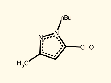 CCCCn1nc(C)cc1C=O